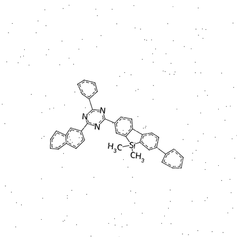 C[Si]1(C)c2cc(-c3ccccc3)ccc2-c2ccc(-c3nc(-c4ccccc4)nc(-c4ccc5ccccc5c4)n3)cc21